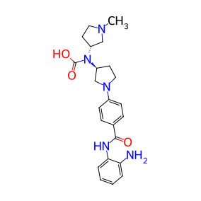 CN1CC[C@@H](N(C(=O)O)[C@H]2CCN(c3ccc(C(=O)Nc4ccccc4N)cc3)C2)C1